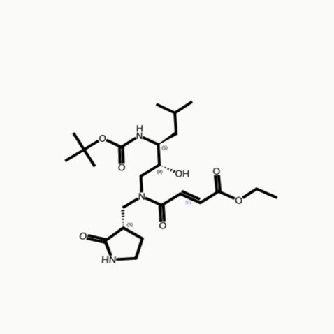 CCOC(=O)/C=C/C(=O)N(C[C@@H]1CCNC1=O)C[C@@H](O)[C@H](CC(C)C)NC(=O)OC(C)(C)C